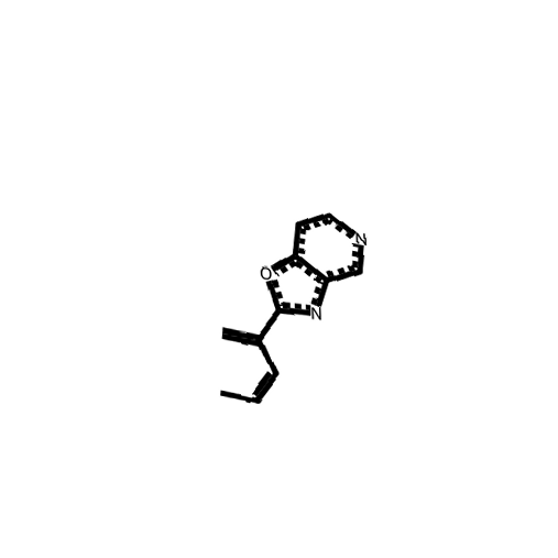 C=C(/C=C\C)c1nc2cnccc2o1